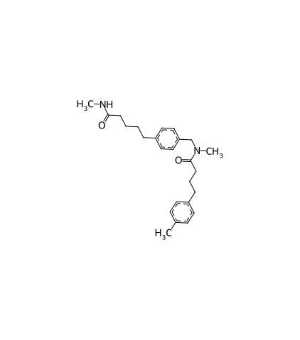 CNC(=O)CCCCc1ccc(CN(C)C(=O)CCCc2ccc(C)cc2)cc1